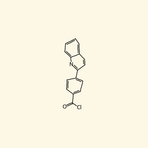 O=C(Cl)c1ccc(-c2ccc3ccccc3n2)cc1